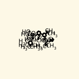 CCOc1c(CN2O[C@@H](CO)[C@@H]([C@H](C)O)[C@H]2C(=O)N[C@H]2C[C@@H](C)C(C)(C)[C@@H](C)[C@@H]2C)cccc1-c1cc(C(=O)N[C@@H](Cc2cccs2)CN(C)C)cc(N(C)C)c1